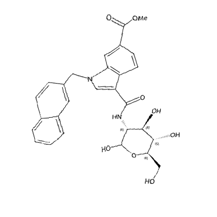 COC(=O)c1ccc2c(C(=O)N[C@H]3C(O)O[C@H](CO)[C@@H](O)[C@@H]3O)cn(Cc3ccc4ccccc4c3)c2c1